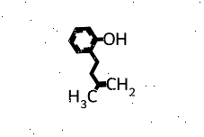 C=C(C)CCc1ccccc1O